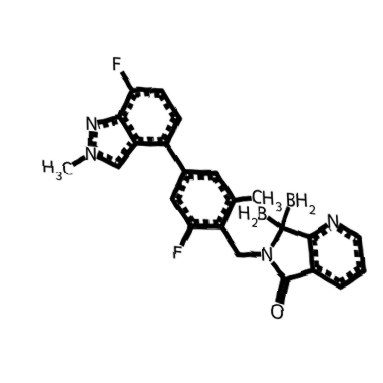 BC1(B)c2ncccc2C(=O)N1Cc1c(C)cc(-c2ccc(F)c3nn(C)cc23)cc1F